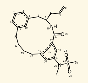 C=CC[C@@H]1Cc2cccc(c2)CCCCc2cc(cc(N(C)S(C)(=O)=O)c2)C(=O)N1